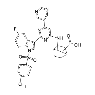 Cc1ccc(S(=O)(=O)n2cc(-c3nc(NC4C5CCC(CC5)C4C(=O)O)cc(-c4cncnc4)n3)c3cc(F)cnc32)cc1